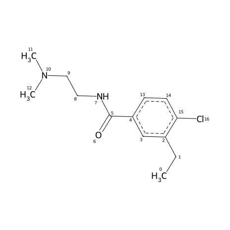 CCc1cc(C(=O)NCCN(C)C)ccc1Cl